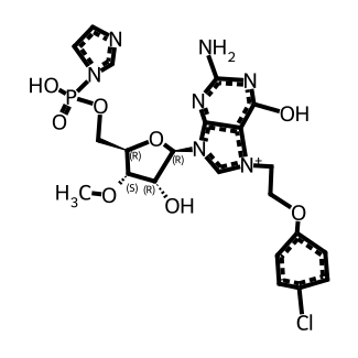 CO[C@H]1[C@@H](O)[C@H](n2c[n+](CCOc3ccc(Cl)cc3)c3c(O)nc(N)nc32)O[C@@H]1COP(=O)(O)n1ccnc1